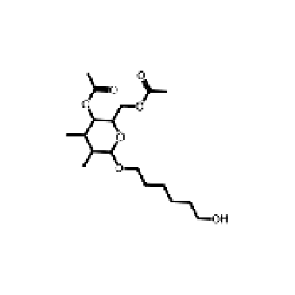 CC(=O)OCC1OC(OCCCCCCO)C(C)C(C)C1OC(C)=O